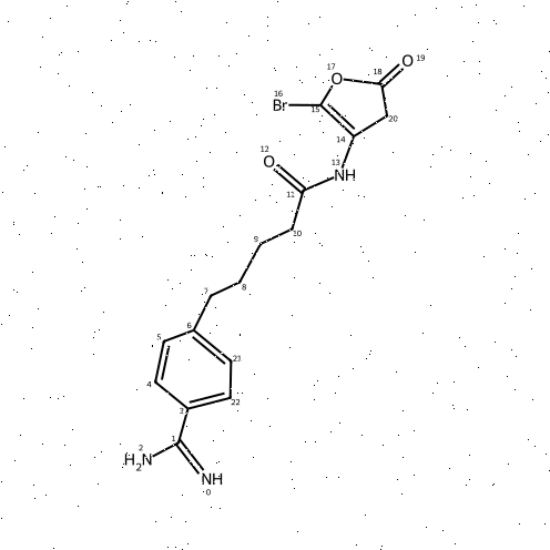 N=C(N)c1ccc(CCCCC(=O)NC2=C(Br)OC(=O)C2)cc1